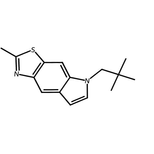 Cc1nc2cc3ccn(CC(C)(C)C)c3cc2s1